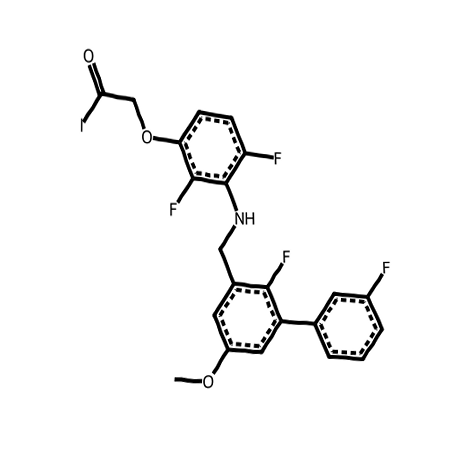 COc1cc(CNc2c(F)ccc(OCC(=O)I)c2F)c(F)c(-c2cccc(F)c2)c1